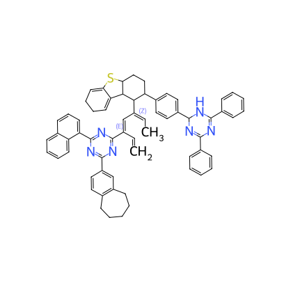 C=C/C(=C\C(=C/C)C1C(c2ccc(C3N=C(c4ccccc4)N=C(c4ccccc4)N3)cc2)CCC2SC3=CCCC=C3C21)c1nc(-c2ccc3c(c2)CCCCC3)nc(-c2cccc3ccccc23)n1